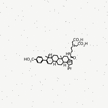 CC(C)[C@@H]1CC[C@]2(C(=O)NCCN(CC(=O)O)CC(=O)O)CC[C@]3(C)[C@H](CC[C@@H]4[C@@]5(C)CC=C(c6ccc(C(=O)O)cc6)C(C)(C)[C@@H]5CC[C@]43C)[C@@H]12